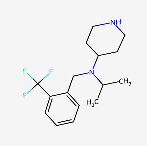 CC(C)N(Cc1ccccc1C(F)(F)F)C1CCNCC1